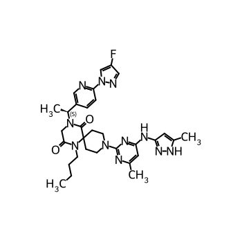 CCCCN1C(=O)CN([C@@H](C)c2ccc(-n3cc(F)cn3)nc2)C(=O)C12CCN(c1nc(C)cc(Nc3cc(C)[nH]n3)n1)CC2